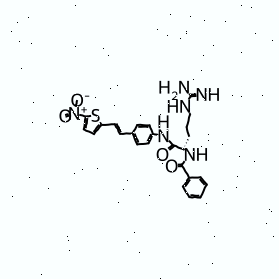 N=C(N)NCCC[C@H](NC(=O)c1ccccc1)C(=O)Nc1ccc(/C=C/c2ccc([N+](=O)[O-])s2)cc1